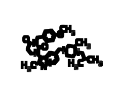 COc1ccc(CN2C(=O)CCN(c3c(C)nn4ccc(CN5CCN(CC(C)C)[C@@H](C)C5)cc34)C2=O)cc1